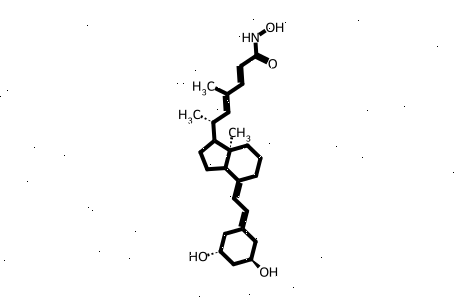 CC(/C=C/C(=O)NO)=C\[C@@H](C)C1CCC2/C(=C/C=C3C[C@@H](O)C[C@H](O)C3)CCC[C@@]21C